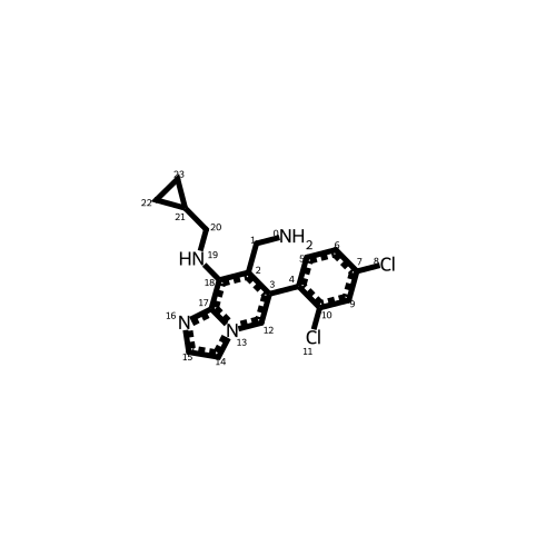 NCc1c(-c2ccc(Cl)cc2Cl)cn2ccnc2c1NCC1CC1